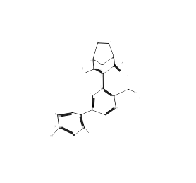 CCc1ccc(-c2ccc(Cl)cc2F)cc1C1=C(O)C2CCC(C2)C1=O